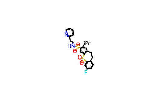 CC(C)c1cc2c(cc1S(=O)(=O)NCCc1ccccn1)S(=O)(=O)c1cc(F)ccc1CC2